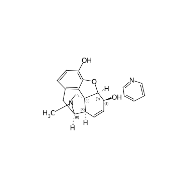 CN1CC[C@]23c4c5ccc(O)c4O[C@H]2[C@@H](O)C=C[C@H]3[C@H]1C5.c1ccncc1